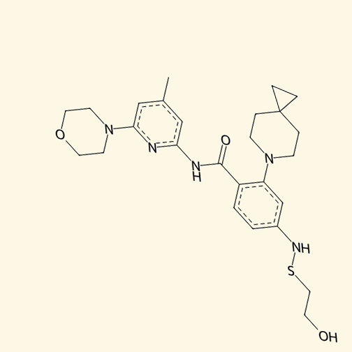 Cc1cc(NC(=O)c2ccc(NSCCO)cc2N2CCC3(CC2)CC3)nc(N2CCOCC2)c1